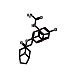 NC(=O)Nc1cc(Cl)ccc1OCC(=O)N1C2CCC1CC(Oc1ccc(F)cc1)C2